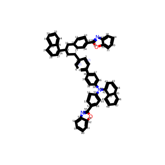 C=C(/C=C\C(=C/C)CCC(CC1C=CC(c2nc3ccccc3o2)=CC1)c1cccc2ccccc12)c1ccc(N(C2=CC=CC3C=CC=CC23)c2ccc(-c3nc4ccccc4o3)cc2)cc1